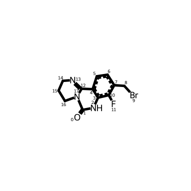 O=C1Nc2c(ccc(CBr)c2F)C2=NCCCN12